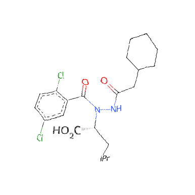 CC(C)C[C@H](C(=O)O)N(NC(=O)CC1CCCCC1)C(=O)c1cc(Cl)ccc1Cl